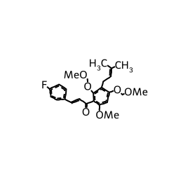 COCOc1cc(OC)c(C(=O)/C=C/c2ccc(F)cc2)c(OCOC)c1CC=C(C)C